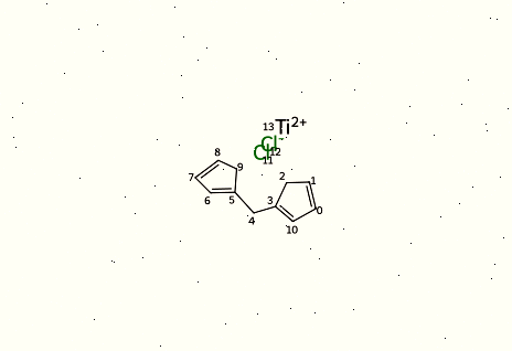 C1=CCC(CC2=CC=CC2)=C1.[Cl-].[Cl-].[Ti+2]